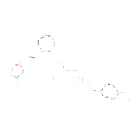 COc1ccc(CCNCC(O)COc2ccccc2C=Cc2cc(C)no2)cc1